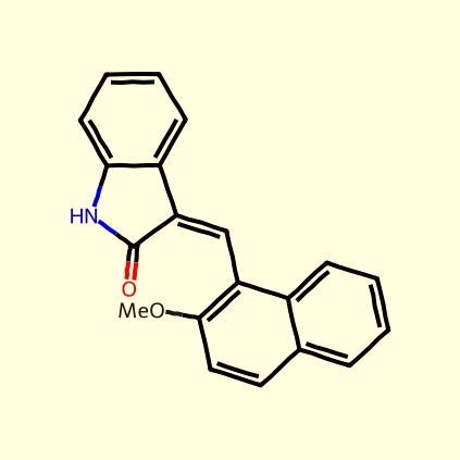 COc1ccc2ccccc2c1/C=C1\C(=O)Nc2ccccc21